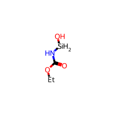 CCOC(=O)N[SiH2]O